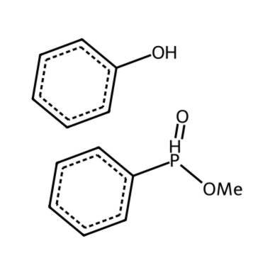 CO[PH](=O)c1ccccc1.Oc1ccccc1